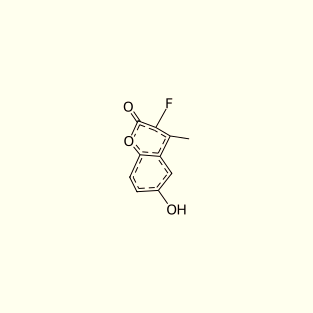 Cc1c(F)c(=O)oc2ccc(O)cc12